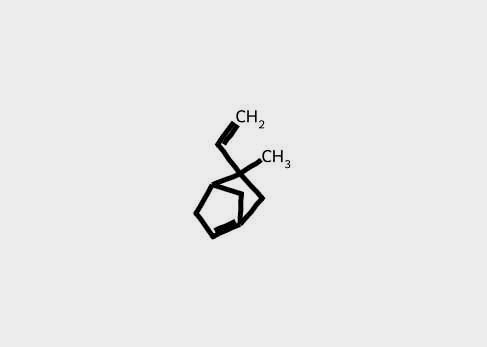 C=CC1(C)CC2=CCC1C2